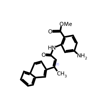 COC(=O)c1ccc(N)cc1NC(=O)/C=C(/C)c1ccc2ccccc2c1